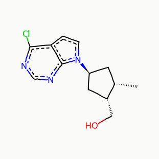 C[C@H]1C[C@H](n2ccc3c(Cl)ncnc32)C[C@H]1CO